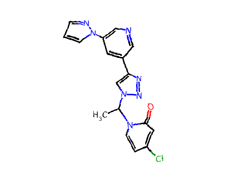 CC(n1cc(-c2cncc(-n3cccn3)c2)nn1)n1ccc(Cl)cc1=O